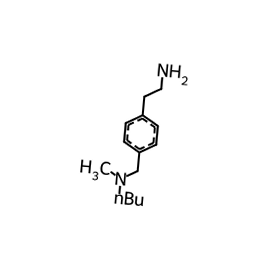 CCCCN(C)Cc1ccc(CCN)cc1